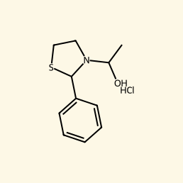 CC(O)N1CCSC1c1ccccc1.Cl